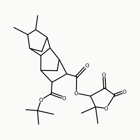 CC1C(C)C2CC1C1C3CC(C(C(=O)OC(C)(C)C)C3C(=O)OC3C(=O)C(=O)OC3(C)C)C21